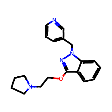 c1cncc(Cn2nc(OCCN3CCCC3)c3ccccc32)c1